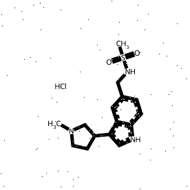 CN1CCC(c2c[nH]c3ccc(CNS(C)(=O)=O)cc23)C1.Cl